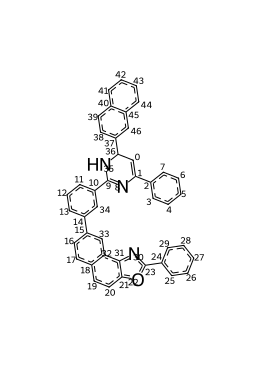 C1=C(c2ccccc2)N=C(c2cccc(-c3ccc4ccc5oc(-c6ccccc6)nc5c4c3)c2)NC1c1ccc2ccccc2c1